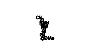 [C-]#[N+]c1ccc(Nc2ncnc3c2OCCN3C2CCN(C(=O)Oc3ccccc3OC)CC2)c(F)c1